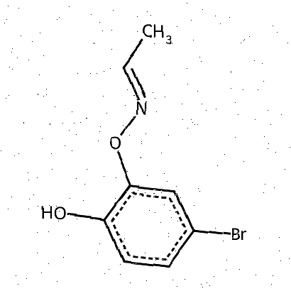 CC=NOc1cc(Br)ccc1O